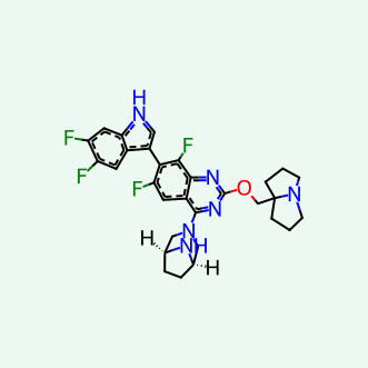 Fc1cc2[nH]cc(-c3c(F)cc4c(N5C[C@H]6CC[C@@H](C5)N6)nc(OCC56CCCN5CCC6)nc4c3F)c2cc1F